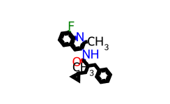 Cc1nc2c(F)cccc2cc1NC(=O)C(Cc1ccccc1)CC1(C)CC1